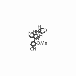 COc1cc(C#N)ccc1-c1nnc(NC2[C@@H]3CC[C@H]2COC3)c2cnccc12